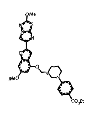 CCOC(=O)c1ccc(N2CCC[C@H](COc3cc(OC)cc4oc(-c5cn6nc(OC)sc6n5)cc34)C2)cc1